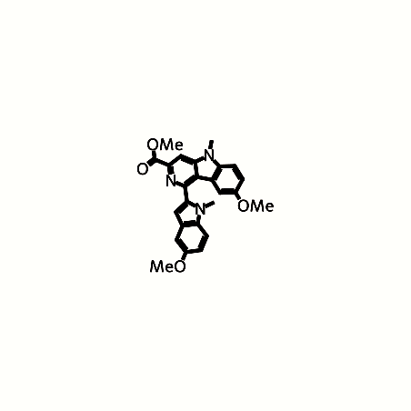 COC(=O)c1cc2c(c(-c3cc4cc(OC)ccc4n3C)n1)c1cc(OC)ccc1n2C